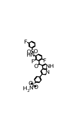 NS(=O)(=O)c1ccc(-c2cnc3[nH]cc(C(=O)c4c(F)ccc(NS(=O)(=O)c5cccc(F)c5)c4F)c3c2)cc1